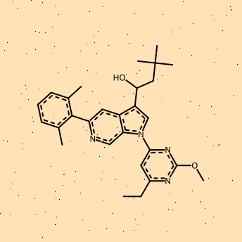 CCc1cc(-n2cc(C(O)CC(C)(C)C)c3cc(-c4c(C)cccc4C)ncc32)nc(OC)n1